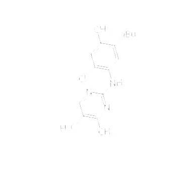 CCC(C)c1cc(Nc2ncc(C)c(C)n2)c(Cl)cc1C